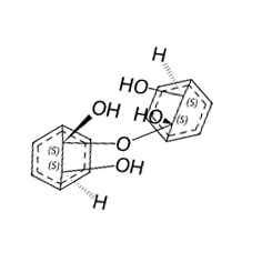 O[C@H]1c2ccc(cc2)[C@]1(O)O[C@@]1(O)c2ccc(cc2)[C@@H]1O